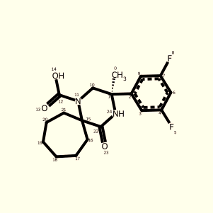 C[C@@]1(c2cc(F)cc(F)c2)CN(C(=O)O)C2(CCCCCC2)C(=O)N1